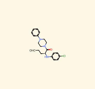 O=CCC[C@H](Nc1ccc(Cl)cc1)C(=O)N1CCN(c2ccccc2)CC1